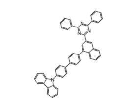 c1ccc(-c2nc(-c3ccccc3)nc(-c3cc(-c4ccc(-c5ccc(-n6c7ccccc7c7ccccc76)cc5)cc4)c4ccccc4c3)n2)cc1